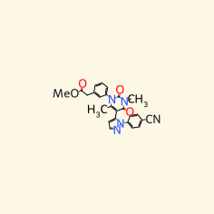 COC(=O)Cc1cccc(-n2c(C)c(-c3ccnn3-c3ccc(C#N)cc3)c(=O)n(C)c2=O)c1